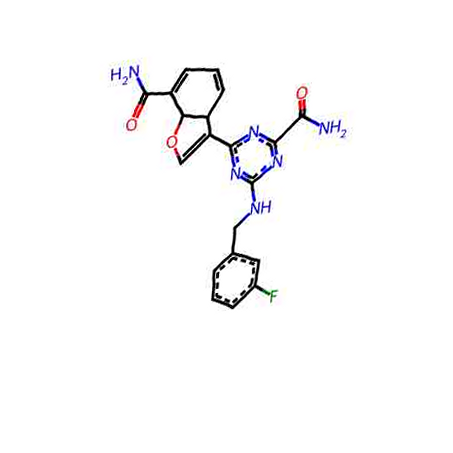 NC(=O)C1=CC=CC2C(c3nc(NCc4cccc(F)c4)nc(C(N)=O)n3)=COC12